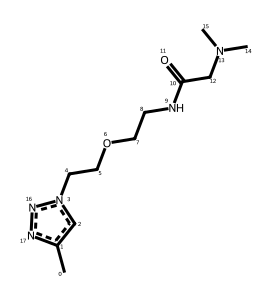 Cc1cn(CCOCCNC(=O)CN(C)C)nn1